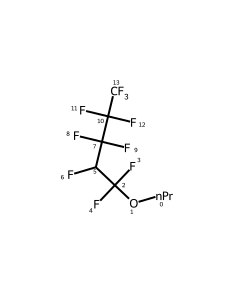 [CH2]CCOC(F)(F)C(F)C(F)(F)C(F)(F)C(F)(F)F